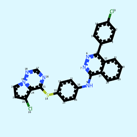 Clc1ccc(-c2nnc(Nc3ccc(Sc4ncnn5ccc(Cl)c45)cc3)c3ccccc23)cc1